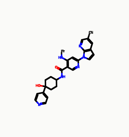 CC(C)Nc1cc(-n2ccc3cc(C#N)cnc32)ncc1C(=O)NC1CCC(O)(c2ccncc2)CC1